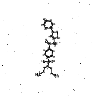 CCCN(CCC)S(=O)(=O)c1ccc(C(=O)NC2=NC(c3ccncc3)CS2)cc1